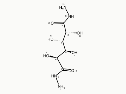 NNC(=O)[C@@H](O)[C@H](O)[C@H](O)[C@@H](O)C(=O)NN